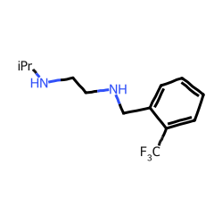 CC(C)NCCNCc1ccccc1C(F)(F)F